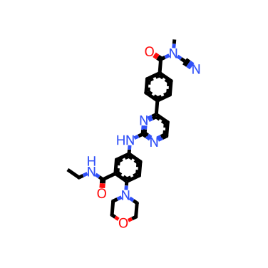 CCNC(=O)c1cc(Nc2nccc(-c3ccc(C(=O)N(C)C#N)cc3)n2)ccc1N1CCOCC1